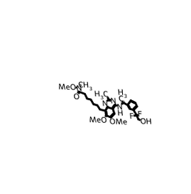 COc1cc2c(N[C@H](C)c3cccc(C(F)(F)CO)c3)nc(C)nc2c(CCCCCCC(=O)N(C)OC)c1OC